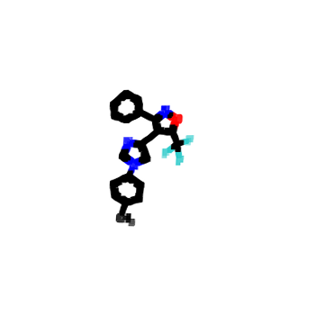 Cc1ccc(-n2cnc(-c3c(-c4ccccc4)noc3C(F)(F)F)c2)cc1